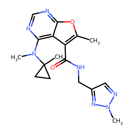 Cc1oc2ncnc(N(C)C3(C)CC3)c2c1C(=O)NCc1cnn(C)n1